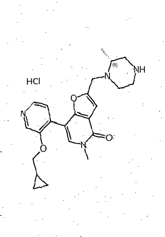 C[C@@H]1CNCCN1Cc1cc2c(=O)n(C)cc(-c3ccncc3OCC3CC3)c2o1.Cl